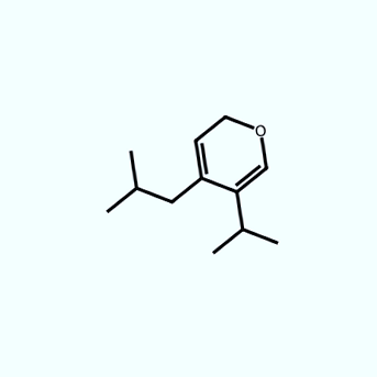 CC(C)CC1=CCOC=C1C(C)C